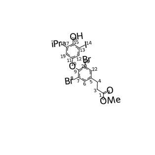 COC(=O)CCc1cc(Br)c(Oc2cc(I)c(O)c(C(C)C)c2)c(Br)c1